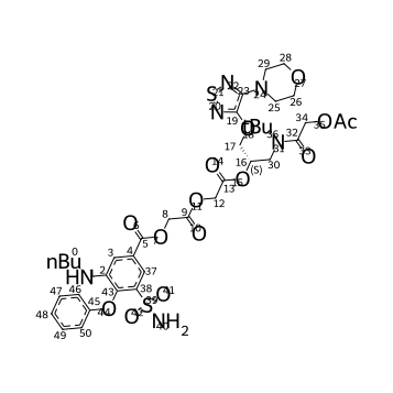 CCCCNc1cc(C(=O)OCC(=O)OCC(=O)O[C@H](COc2nsnc2N2CCOCC2)CN(C(=O)COC(C)=O)C(C)(C)C)cc(S(N)(=O)=O)c1Oc1ccccc1